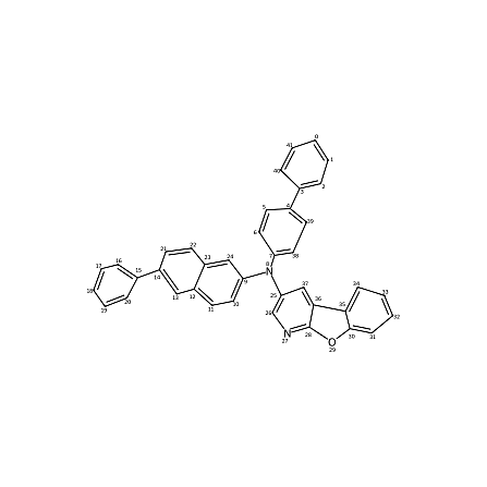 c1ccc(-c2ccc(N(c3ccc4cc(-c5ccccc5)ccc4c3)c3cnc4oc5ccccc5c4c3)cc2)cc1